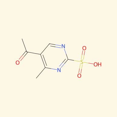 CC(=O)c1cnc(S(=O)(=O)O)nc1C